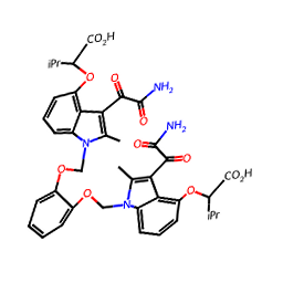 Cc1c(C(=O)C(N)=O)c2c(OC(C(=O)O)C(C)C)cccc2n1COc1ccccc1OCn1c(C)c(C(=O)C(N)=O)c2c(OC(C(=O)O)C(C)C)cccc21